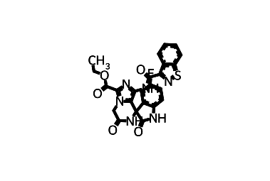 CCOC(=O)c1nc(NC(=O)c2nsc3ccccc23)c2n1CC(=O)NC21C(=O)Nc2ccc(F)cc21